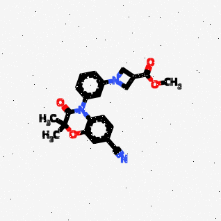 COC(=O)C1CN(c2cccc(N3C(=O)C(C)(C)Oc4cc(C#N)ccc43)c2)C1